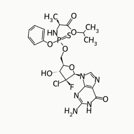 CC(C)OC(=O)[C@H](C)NP(=S)(OC[C@H]1O[C@@H](n2cnc3c(=O)[nH]c(N)nc32)[C@](F)(Cl)[C@@H]1O)Oc1ccccc1